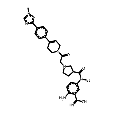 CCN(C(=O)C1CCN(CC(=O)N2CC=C(c3ccc(-c4ncn(C)n4)cc3)CC2)C1)c1ccc(N)c(C(=N)C#N)c1